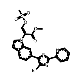 COC(=O)C(=COS(C)(=O)=O)n1ccc2ccc(-c3nc(-c4ccccn4)sc3Br)cc21